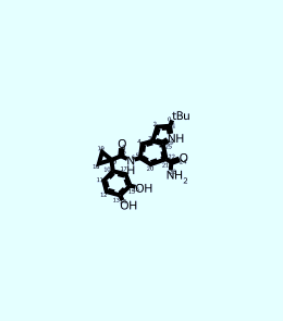 CC(C)(C)c1cc2cc(NC(=O)C3(c4ccc(O)c(O)c4)CC3)cc(C(N)=O)c2[nH]1